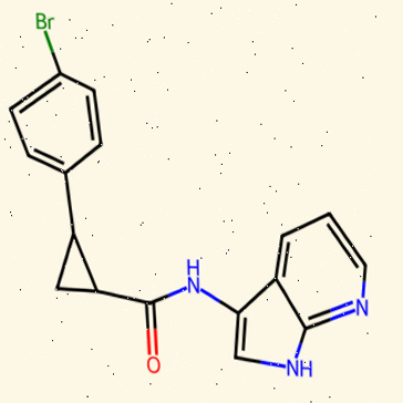 O=C(Nc1c[nH]c2ncccc12)C1CC1c1ccc(Br)cc1